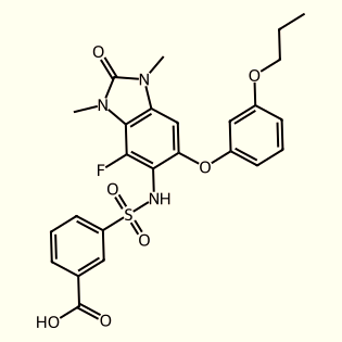 CCCOc1cccc(Oc2cc3c(c(F)c2NS(=O)(=O)c2cccc(C(=O)O)c2)n(C)c(=O)n3C)c1